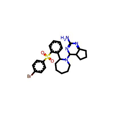 NC1=NC(N2CCCCCC2c2ccccc2S(=O)(=O)c2ccc(Br)cc2)C2CCCC2=N1